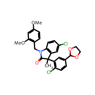 COc1ccc(CN2C(=O)C(C)(c3cc(C4OCCO4)ccc3Cl)c3cc(Cl)ccc32)c(OC)c1